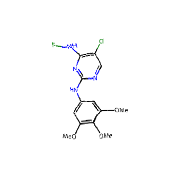 COc1cc(Nc2ncc(Cl)c(NF)n2)cc(OC)c1OC